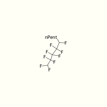 CCCCCC(F)C(F)(F)C(F)(F)C(F)(F)[C](F)F